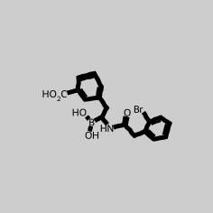 O=C(Cc1ccccc1Br)NC(Cc1cccc(C(=O)O)c1)B(O)O